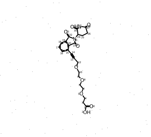 O=C(O)CCOCCOCCOCC#Cc1cccc2c1C(=O)N(C1CCC(=O)NC1=O)C2=O